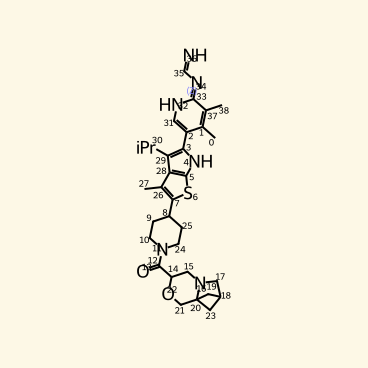 Cc1c(-c2[nH]c3sc(C4CCN(C(=O)C5CN6CC7CC6(CO5)C7)CC4)c(C)c3c2C(C)C)c[nH]/c(=N\C=N)c1C